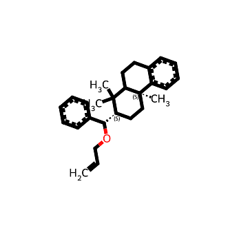 C=CCOC(c1ccccc1)[C@H]1CC[C@]2(C)c3ccccc3CCC2C1(C)C